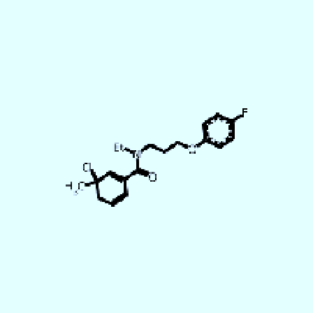 CCN(CCCOc1ccc(F)cc1)C(=O)C1=CC(C)(Cl)CC=C1